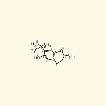 C[C]1CCc2cc(O)c(C(C)(C)C)cc2O1